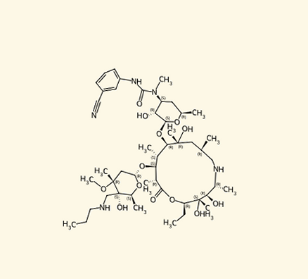 CCCNC[C@]1(O)[C@H](C)O[C@@H](O[C@H]2[C@H](C)[C@@H](O[C@@H]3O[C@H](C)C[C@H](N(C)C(=O)Nc4cccc(C#N)c4)[C@H]3O)[C@](C)(O)C[C@@H](C)CN[C@H](C)[C@@H](O)[C@](C)(O)[C@@H](CC)OC(=O)[C@@H]2C)C[C@@]1(C)OC